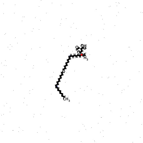 C1CO1.CCCCCCCC/C=C\CCCCCCCCOCCCCCCCC/C=C\CCCCCCCC.O=C(O)CCC(=O)O